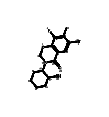 Cc1c(Br)cc2c(c1F)OCN(C1CCCCC1O)C2=O